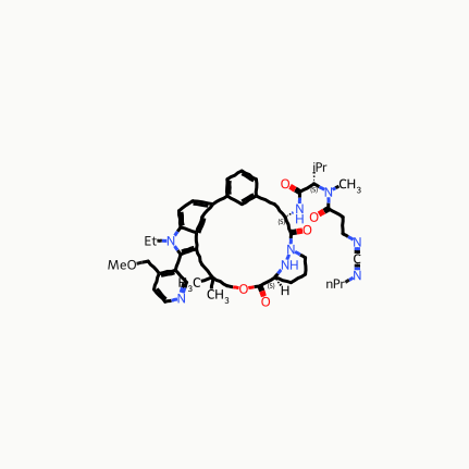 CCCN=C=NCCC(=O)N(C)[C@H](C(=O)N[C@H]1Cc2cccc(c2)-c2ccc3c(c2)c(c(-c2cnccc2COC)n3CC)CC(C)(C)COC(=O)[C@@H]2CCCN(N2)C1=O)C(C)C